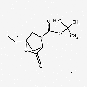 CC(C)(C)OC(=O)N1C[C@@]2(CI)CC1C(=O)O2